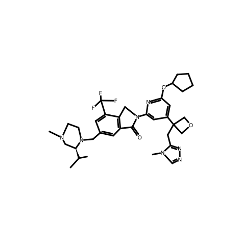 CC(C)[C@H]1CN(C)CCN1Cc1cc2c(c(C(F)(F)F)c1)CN(c1cc(C3(Cc4nncn4C)COC3)cc(OC3CCCC3)n1)C2=O